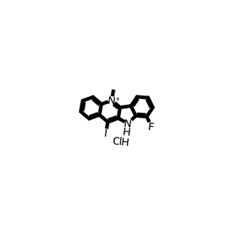 C[n+]1c2ccccc2c(I)c2[nH]c3c(F)cccc3c21.Cl